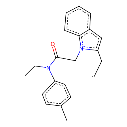 [CH2]Cc1cc2ccccc2n1CC(=O)N(CC)c1ccc(C)cc1